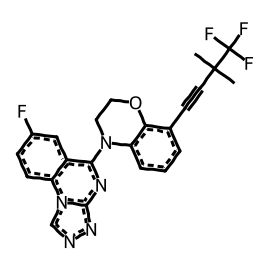 CC(C)(C#Cc1cccc2c1OCCN2c1nc2nncn2c2ccc(F)cc12)C(F)(F)F